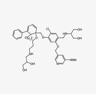 C[C@]1(Cl)C(c2ccccc2)=CC=CC1(COc1cc(OCc2cncc(C#N)c2)c(CNC(CO)CO)cc1Cl)OCCCNCC(O)CO